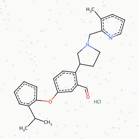 Cc1cccnc1CN1CCC(c2ccc(Oc3ccccc3C(C)C)cc2C=O)C1.Cl